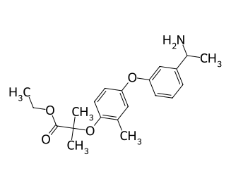 CCOC(=O)C(C)(C)Oc1ccc(Oc2cccc(C(C)N)c2)cc1C